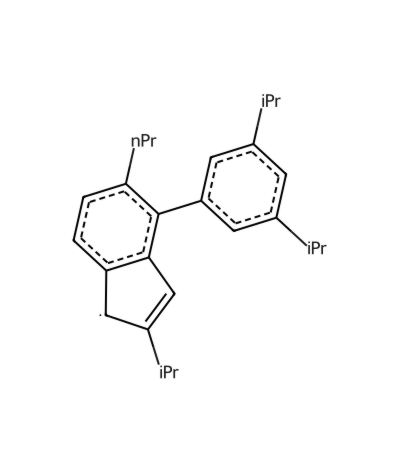 CCCc1ccc2c(c1-c1cc(C(C)C)cc(C(C)C)c1)C=C(C(C)C)[CH]2